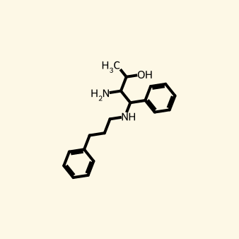 CC(O)C(N)C(NCCCc1ccccc1)c1ccccc1